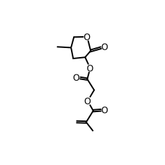 C=C(C)C(=O)OCC(=O)OC1CC(C)COC1=O